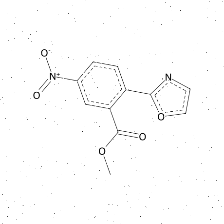 COC(=O)c1cc([N+](=O)[O-])ccc1-c1ncco1